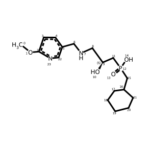 COc1ccc(CNC[C@H](O)CP(=O)(O)CC2CCCCC2)cn1